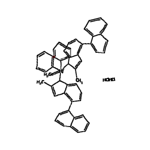 CC1=Cc2c(-c3cccc4ccccc34)cccc2[CH]1[Hf](=[GeH2])([c]1ccccc1)([c]1ccccc1)[CH]1C(C)=Cc2c(-c3cccc4ccccc34)cccc21.Cl.Cl